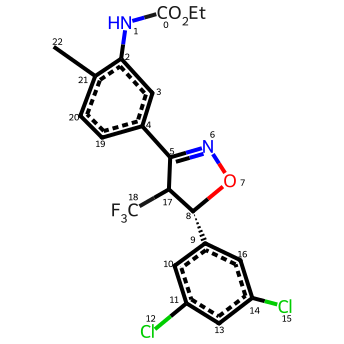 CCOC(=O)Nc1cc(C2=NO[C@H](c3cc(Cl)cc(Cl)c3)C2C(F)(F)F)ccc1C